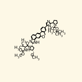 COC[C@H]1C[C@@H](c2nc3ccc4cc5c(cc4c3[nH]2)OCc2cc(-c3cnc(C4CCCN4C(=O)OC(C)(C)C)[nH]3)ccc2-5)N(C(=O)[C@@H](NC(=O)OC)C(C)C)C1